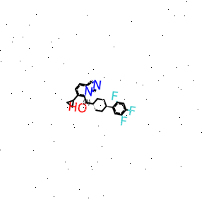 O[C@@H](c1c(C2CC2)ccc2cncn12)[C@H]1CC[C@H](c2cc(F)c(F)cc2F)CC1